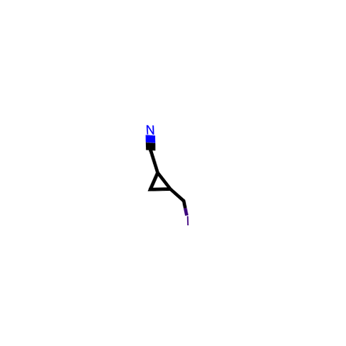 N#CC1CC1CI